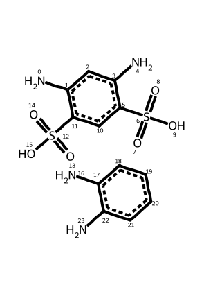 Nc1cc(N)c(S(=O)(=O)O)cc1S(=O)(=O)O.Nc1ccccc1N